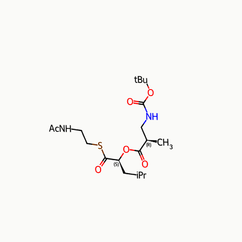 CC(=O)NCCSC(=O)[C@H](CC(C)C)OC(=O)[C@H](C)CNC(=O)OC(C)(C)C